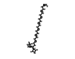 CC(C)(C)NC(CCOCCOCCOCCOCCOCCOCCN)=C1CCC1